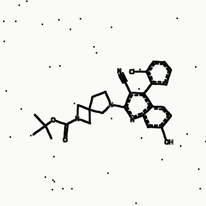 CC(C)(C)OC(=O)N1CC2(CCN(c3nc4cc(O)ccc4c(-c4ccccc4Cl)c3C#N)C2)C1